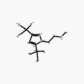 COCCn1nc(C(F)(F)F)cc1C(C)(C)C